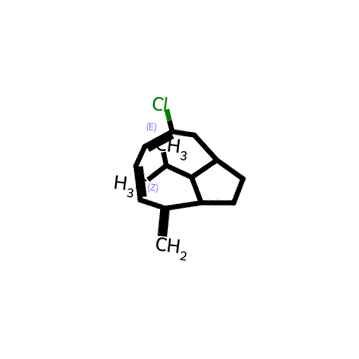 C=C1/C=C\C=C(\Cl)CC2CCC1C2C(C)C